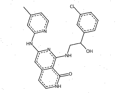 Cc1ccnc(Nc2cc3cc[nH]c(=O)c3c(NCC(O)c3cccc(Cl)c3)n2)c1